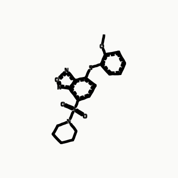 COc1ccccc1Sc1ccc(S(=O)(=O)N2CCCCC2)c2nonc12